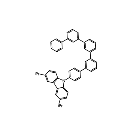 CC(C)c1ccc2c(c1)c1cc(C(C)C)ccc1n2-c1ccc(-c2cccc(-c3cccc(-c4cccc(-c5ccccc5)c4)c3)c2)cc1